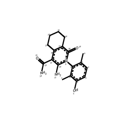 Cc1ccc(O)c(C)c1-n1c(N)c(C(N)=O)c2c(c1=O)CCCC2